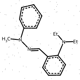 CCN(CC)c1ccccc1/C=N/N(C)c1ccccc1